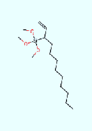 C=CC(CCCCCCCCC)[Si](OC)(OC)OC